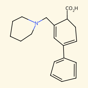 O=C(O)C1CC=C(c2ccccc2)C=C1CN1CCCCC1